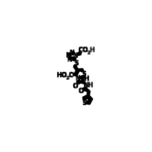 O=C(O)Cn1nnnc1SCC1=C(C(=O)O)N2C(=O)C(NC(=O)Cc3ccsc3)[C@H]2SC1